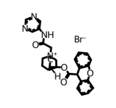 O=C(C[N+]12CCC(CC1)[C@@H](OC(=O)C1c3ccccc3Oc3ccccc31)C2)Nc1cncnc1.[Br-]